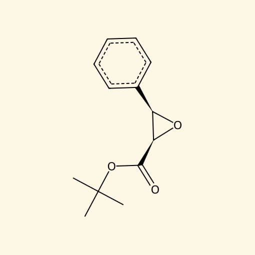 CC(C)(C)OC(=O)[C@@H]1O[C@@H]1c1ccccc1